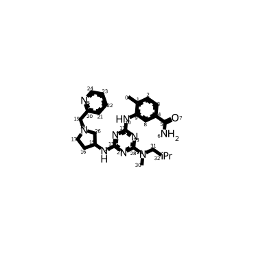 Cc1ccc(C(N)=O)cc1Nc1nc(NC2CCN(Cc3ccccn3)C2)nc(N(C)CC(C)C)n1